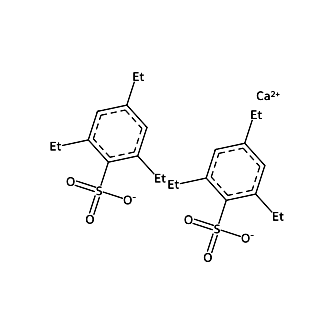 CCc1cc(CC)c(S(=O)(=O)[O-])c(CC)c1.CCc1cc(CC)c(S(=O)(=O)[O-])c(CC)c1.[Ca+2]